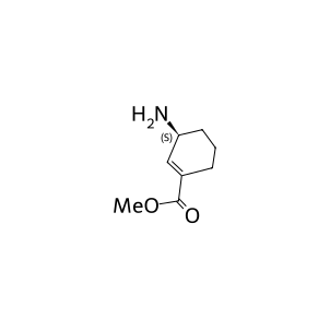 COC(=O)C1=C[C@@H](N)CCC1